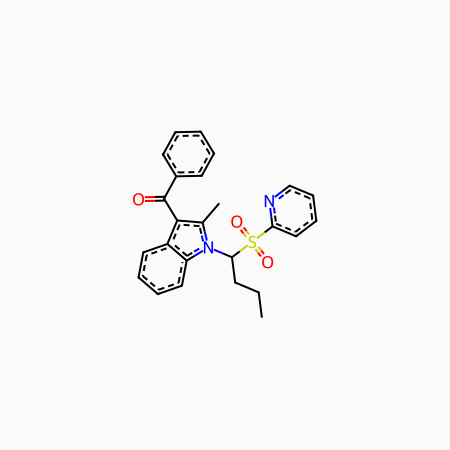 CCCC(n1c(C)c(C(=O)c2ccccc2)c2ccccc21)S(=O)(=O)c1ccccn1